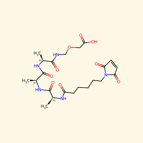 C[C@H](NC(=O)CCCCCN1C(=O)C=CC1=O)C(=O)N[C@@H](C)C(=O)N[C@@H](C)C(=O)NCOCC(=O)O